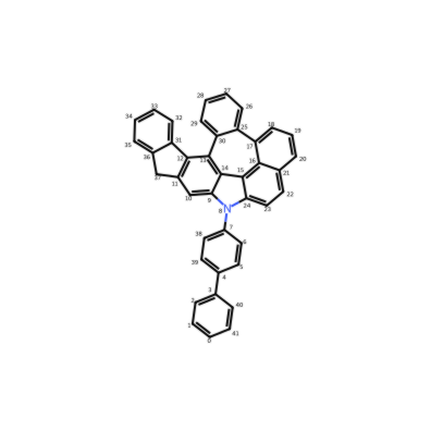 c1ccc(-c2ccc(-n3c4cc5c(c6c4c4c7c(cccc7ccc43)-c3ccccc3-6)-c3ccccc3C5)cc2)cc1